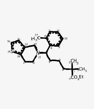 CCOC(=O)C(C)(C)CCCC(c1ccccc1C)N1CCc2sccc2C1